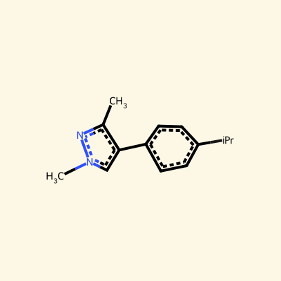 Cc1nn(C)cc1-c1ccc(C(C)C)cc1